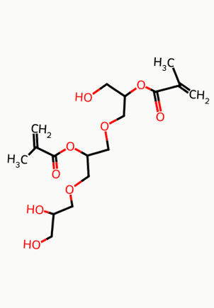 C=C(C)C(=O)OC(CO)COCC(COCC(O)CO)OC(=O)C(=C)C